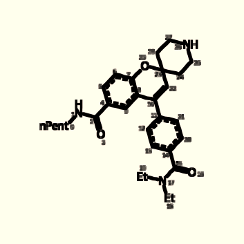 CCCCCNC(=O)c1ccc2c(c1)C(c1ccc(C(=O)N(CC)CC)cc1)=CC1(CCNCC1)O2